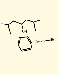 CC(C)CP(O)CC(C)C.[Br][Ru][Br].c1ccccc1